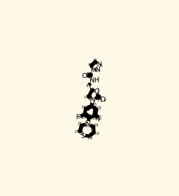 O=C1O[C@@H](CNC(=O)n2ccnn2)CN1c1cc(F)c(N2CCCSCC2)c(F)c1